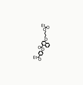 CCC(=O)OCCCCOc1ccc(C(=O)Oc2ccc(C(=O)CC)cc2)c2ccccc12